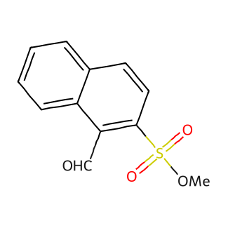 COS(=O)(=O)c1ccc2ccccc2c1C=O